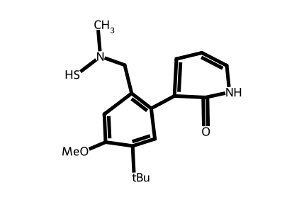 COc1cc(CN(C)S)c(-c2ccc[nH]c2=O)cc1C(C)(C)C